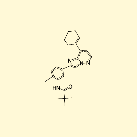 Cc1ccc(-c2cn3nccc(C4=CCCCC4)c3n2)cc1NC(=O)C(C)(C)C